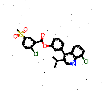 CC(C)c1cnc2c(Cl)cccc2c1-c1cccc(OC(=O)c2cc(S(C)(=O)=O)ccc2Cl)c1